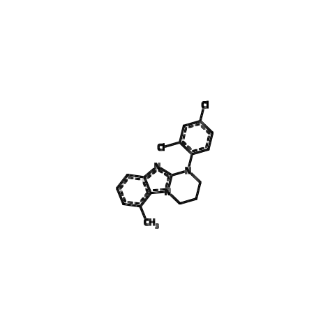 Cc1cccc2nc3n(c12)CCCN3c1ccc(Cl)cc1Cl